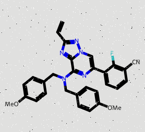 C=Cc1nc2c(N(Cc3ccc(OC)cc3)Cc3ccc(OC)cc3)nc(-c3cccc(C#N)c3F)cn2n1